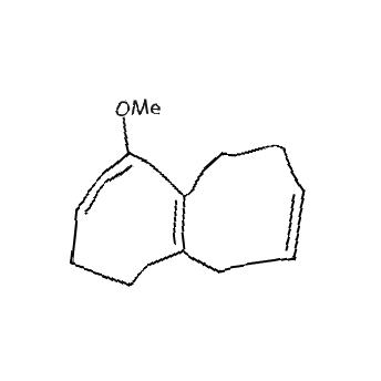 COC1=CCCC2=C1CCC=CC2